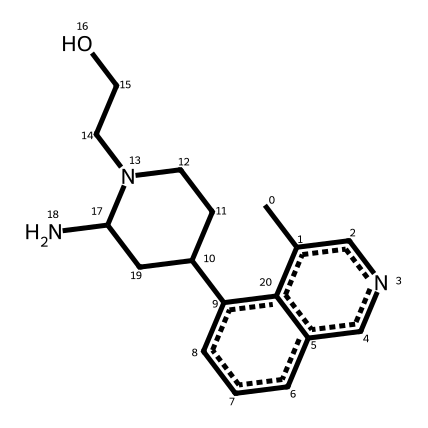 Cc1cncc2cccc(C3CCN(CCO)C(N)C3)c12